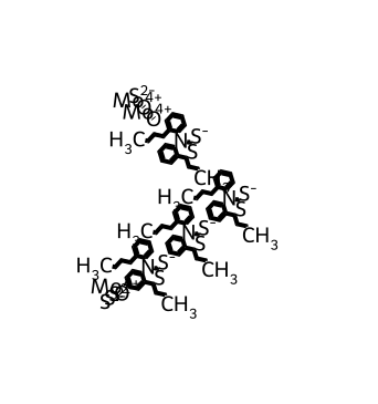 CCCCc1ccccc1N(C(=S)[S-])c1ccccc1CCCC.CCCCc1ccccc1N(C(=S)[S-])c1ccccc1CCCC.CCCCc1ccccc1N(C(=S)[S-])c1ccccc1CCCC.CCCCc1ccccc1N(C(=S)[S-])c1ccccc1CCCC.[O]=[Mo+4].[O]=[Mo+4].[O]=[Mo+4].[S-2].[S-2].[S-2].[S-2]